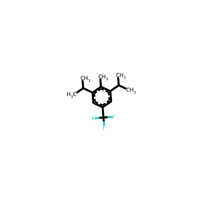 Cc1c(C(C)C)cc(C(F)(F)F)cc1C(C)C